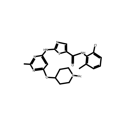 CC(=O)N1CCC(Oc2cc(Nc3ncc(C(=O)Nc4c(C)cccc4Cl)s3)nc(C)n2)CC1